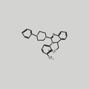 O=C(O)CC1c2ccccc2N=C(N2CCN(c3ccccc3)CC2)N1c1cccc(C(F)(F)F)c1